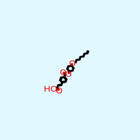 C=CCCCCCCOC1CCC(OC(=O)c2ccc(/C=C/C(=O)O)cc2)CC1